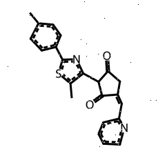 Cc1ccc(-c2nc(C3C(=O)C/C(=C/c4ccccn4)C3=O)c(C)s2)cc1